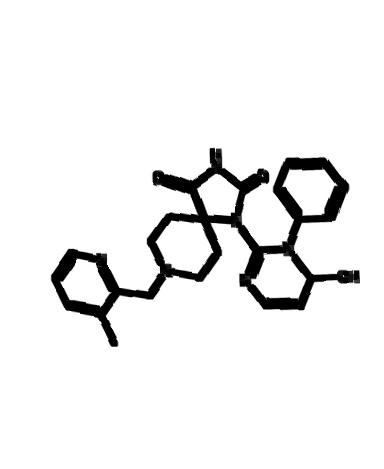 Cc1cccnc1CN1CCC2(CC1)C(=O)NC(=O)N2C1=NC=CC(O)N1c1ccccc1